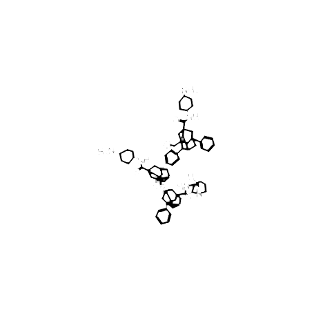 C[C@]12CC3C[C@](c4ccc(C5C6CC7(C(=O)N[C@H]8CC[C@H](N)CC8)CC(c8ccccc8)(C6)CC5(CCl)C7)cc4)(CC(C(=S)N[C@H]4CC[C@@H](N)CC4)(C1)C3C[C@@]13CC4CC(C(=S)N[C@H]5CN6CCC5CC6)(C1)C[C@](c1ccccc1)(C4)C3)C2